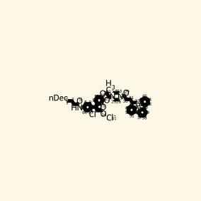 CCCCCCCCCCCCCC(=O)Nc1ccc(-c2cc(=O)oc3cc(O[C@H](C)C(=O)N4CCN(C(=O)CCCC[P+](c5ccccc5)(c5ccccc5)c5ccccc5)CC4)ccc23)c(Cl)c1.[Cl-]